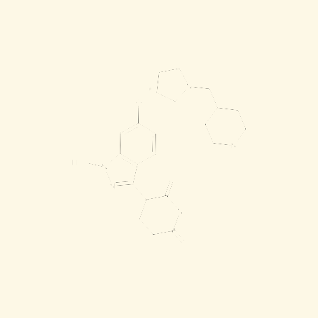 Cn1nc(C2CCC(=O)NC2=O)c2ccc(O[C@@H]3CCN(CC4CCNCC4)C3)cc21